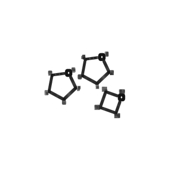 C1CCOC1.C1CCOC1.C1COC1